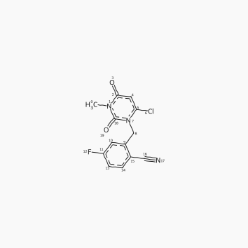 Cn1c(=O)cc(Cl)n(Cc2cc(F)ccc2C#N)c1=O